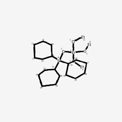 CC[O][Zr]([O]CC)([O]CC)[O][Si](C1CCCCC1)(C1CCCCC1)C1CCCCC1